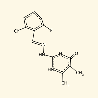 Cc1[nH]c(NN=Cc2c(F)cccc2Cl)nc(=O)c1C